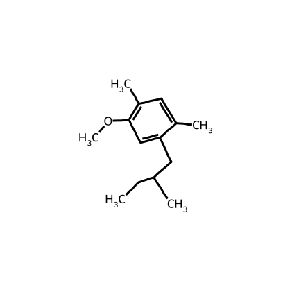 CCC(C)Cc1cc(OC)c(C)cc1C